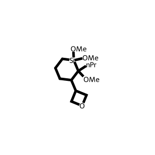 CCCC1(OC)C(C2COC2)CCC[Si]1(OC)OC